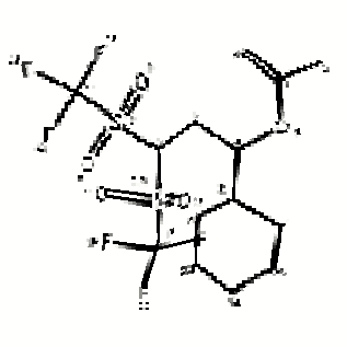 C=C(C)OC(CC(S(=O)(=O)C(F)(F)F)S(=O)(=O)C(F)(F)F)C1CCCCC1